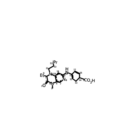 CCC1C(=O)N(C)c2cnc(NC3=CCC(C(=O)O)C=C3)cc2N1CCC(C)C